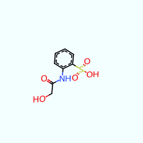 O=C(CO)Nc1ccccc1S(=O)(=O)O